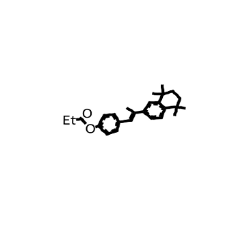 CCC(=O)Oc1ccc(C=C(C)c2ccc3c(c2)C(C)(C)CCC3(C)C)cc1